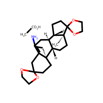 CC(=O)O.C[C@]12CC[C@H]3[C@@H](CC=C4CC5(CC[C@@]43CCN)OCCO5)[C@@H]1CCC21OCCO1